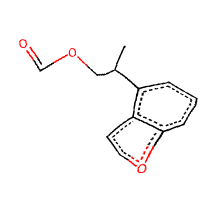 CC(COC=O)c1cccc2occc12